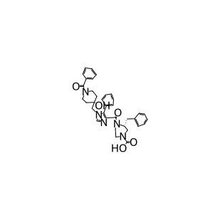 O=C(O)N1CCN(C(=O)c2ncn(CC3(O)CCN(C(=O)c4ccccc4)CC3)c2-c2ccccc2)[C@H](Cc2ccccc2)C1